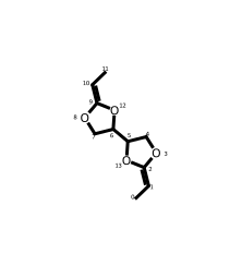 CC=C1OCC(C2COC(=CC)O2)O1